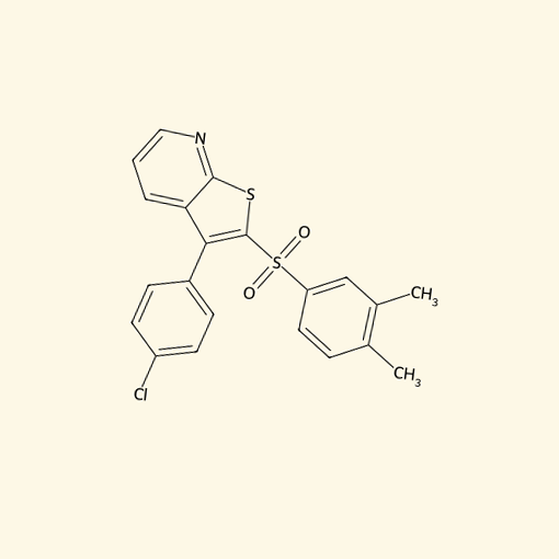 Cc1ccc(S(=O)(=O)c2sc3ncccc3c2-c2ccc(Cl)cc2)cc1C